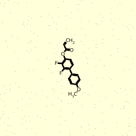 C=CC(=O)Oc1ccc(-c2ccc(OC)cc2)c(F)c1F